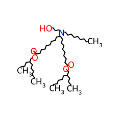 CCCCCCCCCN(CCCO)C(CCCCCCCCC(=O)OCC(CCCC)CCCCCC)CCCCCCCCC(=O)OCC(CCCC)CCCCCC